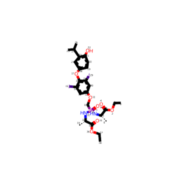 CCOC(=O)[C@H](C)NP(=O)(COc1cc(I)c(Oc2ccc(O)c(C(C)C)c2)c(I)c1)N[C@@H](C)C(=O)OCC